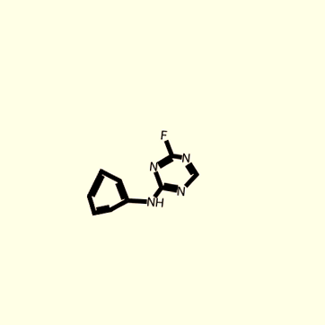 Fc1ncnc(Nc2ccccc2)n1